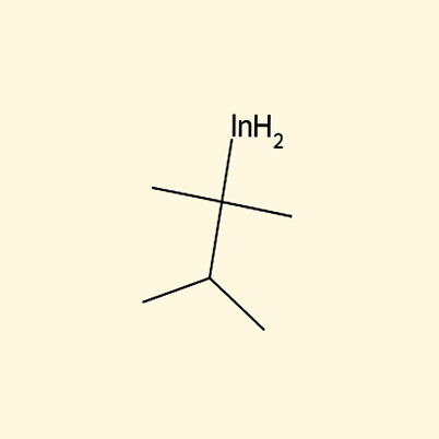 CC(C)[C](C)(C)[InH2]